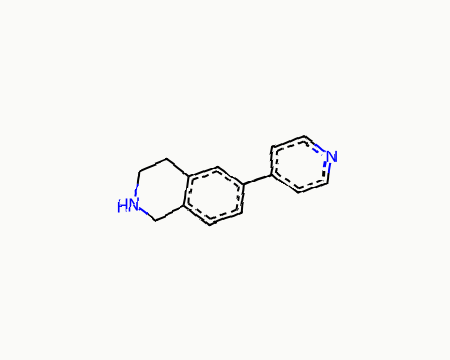 c1cc(-c2ccc3c(c2)CCNC3)ccn1